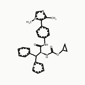 Cc1ncn(C)c1-c1ccc(NC(=O)[C@@H](NC(=O)OC2CC2)C(c2ccccc2)c2ccccc2)cc1